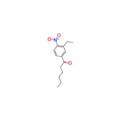 CCCCCC(=O)c1ccc([N+](=O)[O-])c(CC)c1